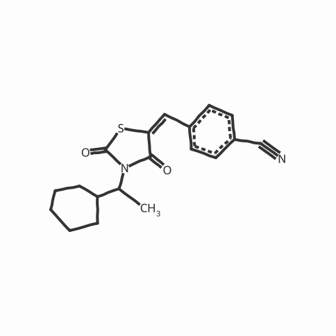 CC(C1CCCCC1)N1C(=O)SC(=Cc2ccc(C#N)cc2)C1=O